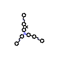 CC1(C)c2cc(/C=C/c3ccccc3)ccc2-c2ccc(N(c3ccc(/C=C/c4ccccc4)cc3)c3ccc(-c4ccc(/C=C/c5ccccc5)cc4)cc3)cc21